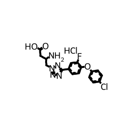 Cl.NC(CC(=O)O)Cn1nnc(-c2ccc(Oc3ccc(Cl)cc3)c(F)c2)n1